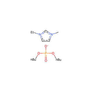 CCCCOP(=O)([O-])OCCCC.CC[n+]1ccn(C)c1